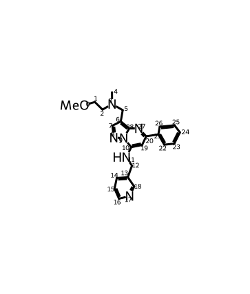 COCCN(C)Cc1cnn2c(NCc3cccnc3)cc(-c3ccccc3)nc12